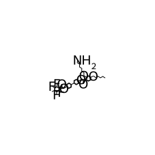 CCCCCOc1ccc(C(=O)Oc2ccc(-c3ccc(OC(=O)c4c(F)c(F)c(C)c(F)c4F)cc3)cc2)c(OCCCCCCN)c1